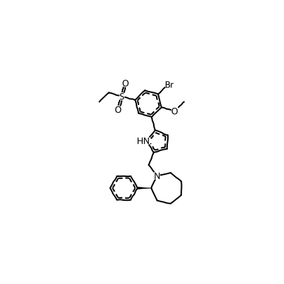 CCS(=O)(=O)c1cc(Br)c(OC)c(-c2ccc(CN3CCCCC[C@H]3c3ccccc3)[nH]2)c1